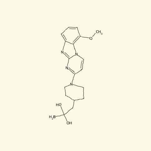 BC(O)(O)CC1CCN(c2ccn3c(n2)nc2cccc(OC)c23)CC1